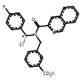 CC[C@H](c1ccc(F)cc1)N(Cc1cccc(C(=O)O)c1)C(=O)c1cc2ccccc2cn1